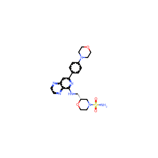 NS(=O)(=O)N1CCO[C@H](CNc2nc(-c3ccc(N4CCOCC4)cc3)cc3nccnc23)C1